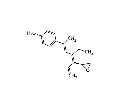 C=C/C(=C(\C=C(/C)c1ccc(C)cc1)CC)[C@H]1CO1